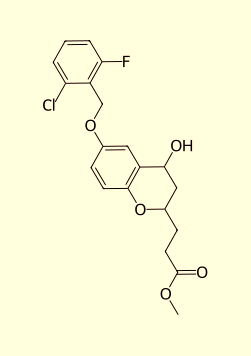 COC(=O)CCC1CC(O)c2cc(OCc3c(F)cccc3Cl)ccc2O1